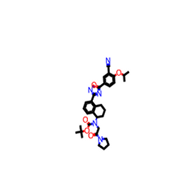 CC(C)Oc1ccc(-c2nc(-c3cccc4c3CCC[C@H]4N(CC(=O)N3CCCC3)C(=O)OC(C)(C)C)no2)cc1C#N